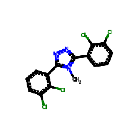 Cn1c(-c2cccc(Cl)c2Cl)nnc1-c1cccc(Cl)c1Cl